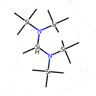 C[SiH](N([Si](C)(C)C)[Si](C)(C)C)N([Si](C)(C)C)[Si](C)(C)C